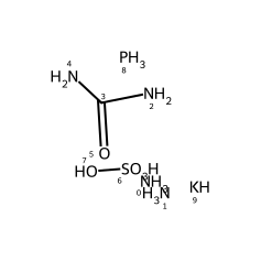 N.N.NC(N)=O.O=S(=O)(O)O.P.[KH]